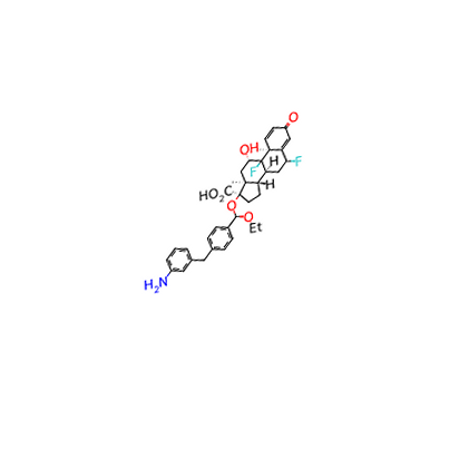 CCO[C@H](O[C@]1(C(=O)O)CC[C@H]2[C@@H]3C[C@H](F)C4=CC(=O)C=C[C@]4(C)[C@@]3(F)[C@@H](O)C[C@@]21C)c1ccc(Cc2cccc(N)c2)cc1